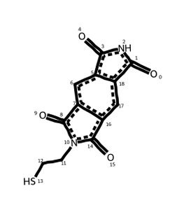 O=c1[nH]c(=O)c2cc3c(=O)n(CCS)c(=O)c3cc12